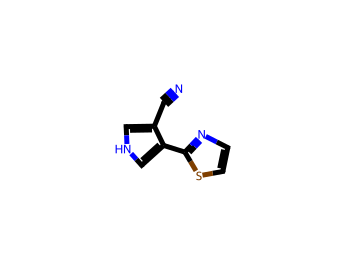 N#Cc1c[nH]cc1-c1nccs1